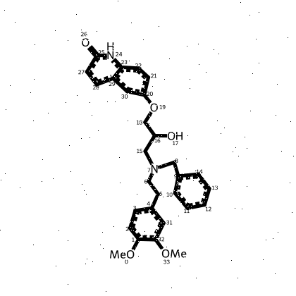 COc1ccc(CCN(Cc2ccccc2)CC(O)COc2ccc3[nH]c(=O)ccc3c2)cc1OC